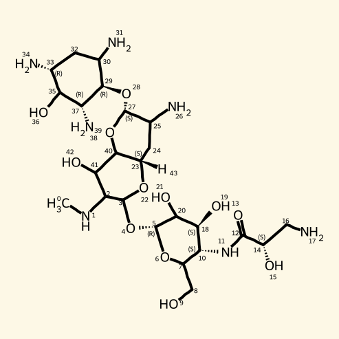 CNC1C(O[C@H]2OC(CO)[C@@H](NC(=O)[C@@H](O)CN)[C@H](O)C2O)O[C@H]2CC(N)[C@@H](O[C@@H]3C(N)C[C@@H](N)C(O)[C@H]3N)OC2C1O